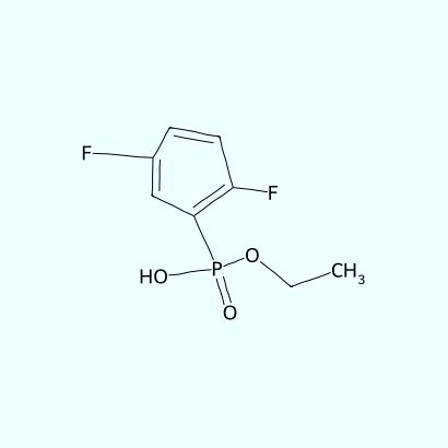 CCOP(=O)(O)c1cc(F)ccc1F